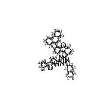 c1ccc2cc(C3=NC(c4cccc5oc6c(-c7cc8ccccc8c8ccccc78)cccc6c45)=NC(c4ccc5c(c4)oc4ccccc45)N3)ccc2c1